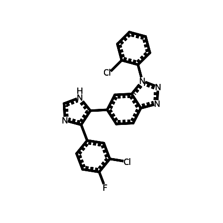 Fc1ccc(-c2nc[nH]c2-c2ccc3nnn(-c4ccccc4Cl)c3c2)cc1Cl